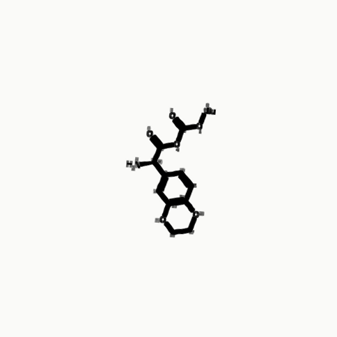 CC(C)(C)OC(=O)OC(=O)[C@H](N)c1ccc2c(c1)OCCO2